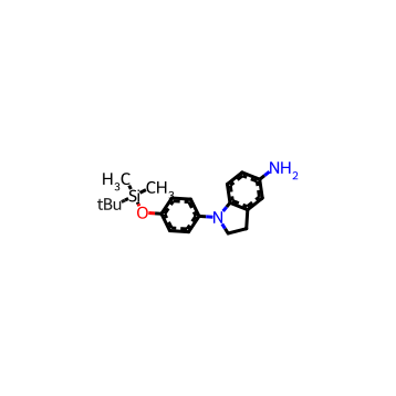 CC(C)(C)[Si](C)(C)Oc1ccc(N2CCc3cc(N)ccc32)cc1